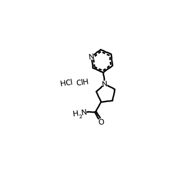 Cl.Cl.NC(=O)C1CCN(c2cccnc2)C1